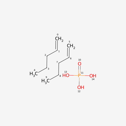 C=CCCC.C=CCCC.O=P(O)(O)O